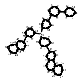 c1ccc(-c2cccc(-c3ccc(N(c4ccc(-c5ccc6c(ccc7ccccc76)c5)cc4)c4cccc(-c5ccc6ccccc6c5)c4)cc3)c2)cc1